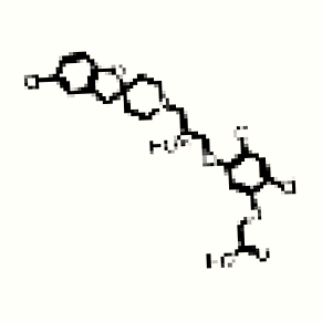 O=C(O)COc1cc(OC[C@@H](O)CN2CCC3(CC2)Cc2cc(Cl)ccc2O3)c(Cl)cc1Cl